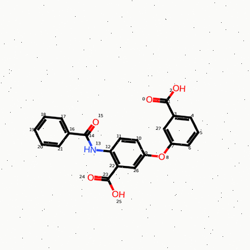 O=C(O)c1cccc(Oc2ccc(NC(=O)c3ccccc3)c(C(=O)O)c2)c1